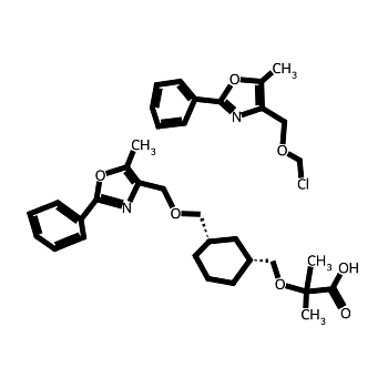 Cc1oc(-c2ccccc2)nc1COCCl.Cc1oc(-c2ccccc2)nc1COC[C@H]1CCC[C@@H](COC(C)(C)C(=O)O)C1